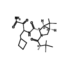 C[C@H](C(=O)N1C[C@H]2[C@@H]([C@H]1C(=O)NC(CC1CCC1)C(=O)C(N)=O)C2(C)C)C(C)(C)C